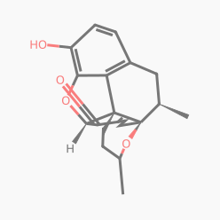 CC1CC[C@]23c4c5ccc(O)c4O[C@H]2C(=O)C=C[C@@]3(O1)[C@H](C)C5